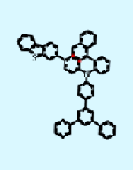 c1ccc(-c2cc(-c3ccccc3)cc(-c3ccc(N(c4ccc(-c5ccc6c(c5)sc5ccccc56)cc4)c4ccccc4-c4cccc5ccccc45)cc3)c2)cc1